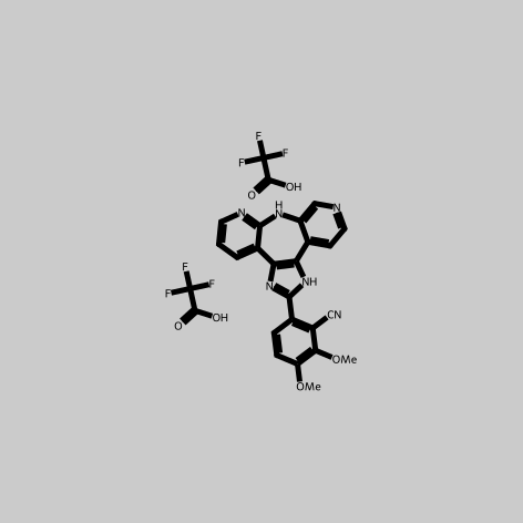 COc1ccc(-c2nc3c([nH]2)-c2ccncc2Nc2ncccc2-3)c(C#N)c1OC.O=C(O)C(F)(F)F.O=C(O)C(F)(F)F